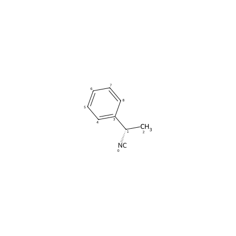 [C-]#[N+][C@@H](C)c1ccccc1